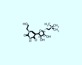 C=P(C)(C)CC[C@H]1OC(c2cn(CCO)c(=O)[nH]c2=O)[C@H](O)[C@@H]1O